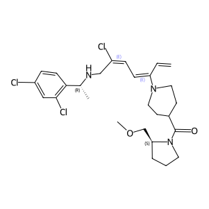 C=C/C(=C\C=C(\Cl)CN[C@H](C)c1ccc(Cl)cc1Cl)N1CCC(C(=O)N2CCC[C@H]2COC)CC1